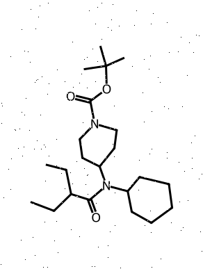 CCC(CC)C(=O)N(C1CCCCC1)C1CCN(C(=O)OC(C)(C)C)CC1